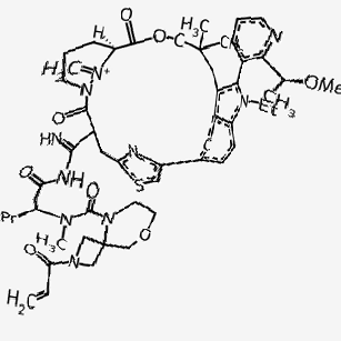 C=CC(=O)N1CC2(COCCN2C(=O)N(C)[C@H](C(=O)NC(=N)C2Cc3nc(cs3)-c3ccc4c(c3)c(c(-c3cccnc3[C@H](C)OC)n4CC)CC(C)(C)COC(=O)[C@@H]3CCCN(C2=O)[N+]3=C)C(C)C)C1